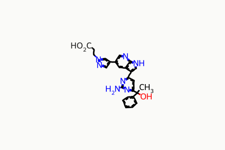 CC(O)(c1ccccc1)c1cc(-c2c[nH]c3ncc(-c4cnn(CCC(=O)O)c4)cc23)nc(N)n1